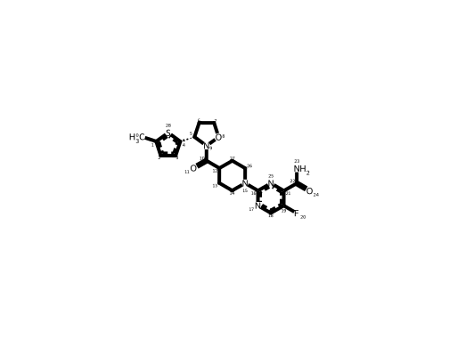 Cc1ccc([C@@H]2CCON2C(=O)C2CCN(c3ncc(F)c(C(N)=O)n3)CC2)s1